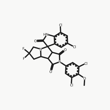 COc1c(Cl)cc(N2C(=O)C3C4CC(F)(F)CN4C4(C(=O)Nc5c(Cl)cc(Cl)cc54)C3C2=O)cc1Cl